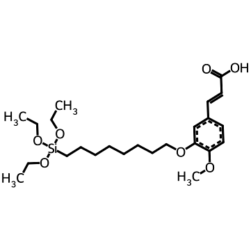 CCO[Si](CCCCCCCCOc1cc(C=CC(=O)O)ccc1OC)(OCC)OCC